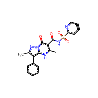 Cc1[nH]c2c(-c3ccccc3)c(C(F)(F)F)nn2c(=O)c1C(=O)NS(=O)(=O)c1cc#ccn1